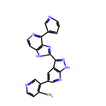 Cc1ccncc1-c1cnc2[nH]nc(-c3nc4c(-c5cccnc5)nccc4[nH]3)c2c1